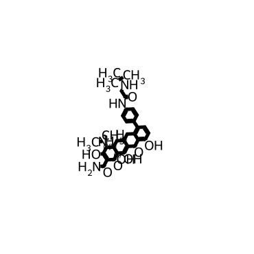 CN(C)[C@H]1C(O)=C(C(N)=O)C(=O)[C@]2(O)C(O)=C3C(=O)c4c(O)ccc(-c5ccc(NC(=O)CNC(C)(C)C)cc5)c4C[C@@H]3C[C@H]12